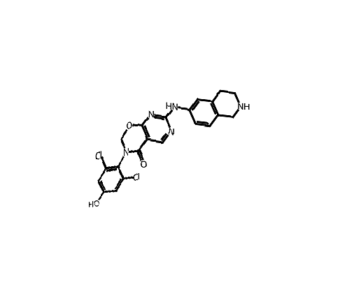 O=C1c2cnc(Nc3ccc4c(c3)CCNC4)nc2OCN1c1c(Cl)cc(O)cc1Cl